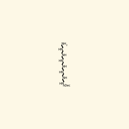 CCCCCCCCCCNCCNCCNCCNCCNCCNCCNCCN